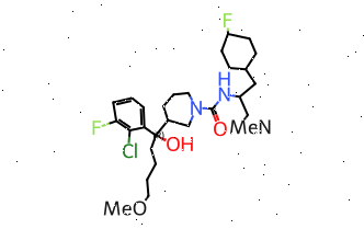 CNCC(CC1CCC(F)CC1)NC(=O)N1CCCC([C@](O)(CCCCOC)c2cccc(F)c2Cl)C1